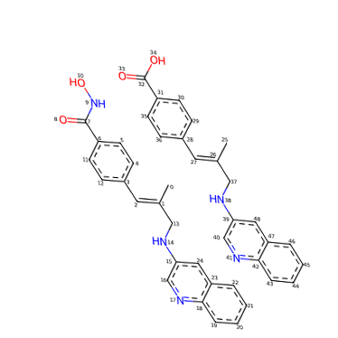 CC(=Cc1ccc(C(=O)NO)cc1)CNc1cnc2ccccc2c1.CC(=Cc1ccc(C(=O)O)cc1)CNc1cnc2ccccc2c1